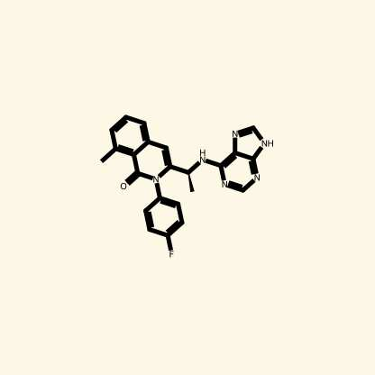 Cc1cccc2cc([C@H](C)Nc3ncnc4[nH]cnc34)n(-c3ccc(F)cc3)c(=O)c12